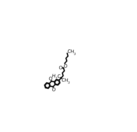 CCCCCCOC(=O)CCCC(C)(C)c1ccc2c(c1)C(=O)c1ccccc1C2=O